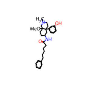 COC12CCC(NC(=O)CCCCCc3ccccc3)CC1(c1cccc(O)c1)CCN(C)C2